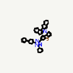 c1ccc(-c2ccc(-c3nc(-c4ccccc4)nc(-c4ccc5c(c4)sc4cccc(-n6c7cc8ccccc8cc7c7c8ccccc8ccc76)c45)n3)cc2)cc1